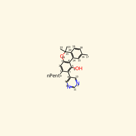 CCCCCc1cc2c(c(O)c1-c1cncnc1)-c1cc(C)ccc1C(C)(C)O2